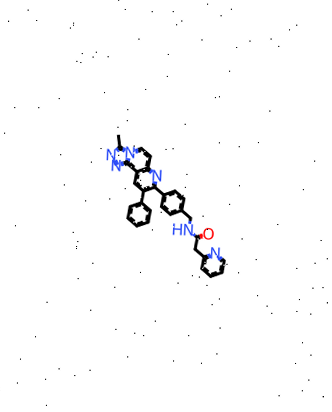 Cc1nnc2c3cc(-c4ccccc4)c(-c4ccc(CNC(=O)Cc5ccccn5)cc4)nc3ccn12